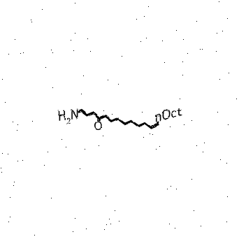 CCCCCCCC/C=C\CCCCCCCC(=O)CCCN